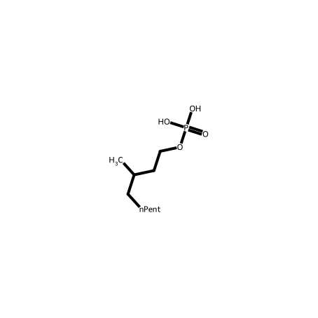 CCCCCCC(C)CCOP(=O)(O)O